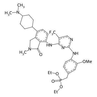 CCOP(=O)(Cc1ccc(Nc2ncc(C(F)(F)F)c(Nc3ccc(C4CCC(N(C)C)CC4)c4c3C(=O)N(C)C4)n2)c(OC)c1)OCC